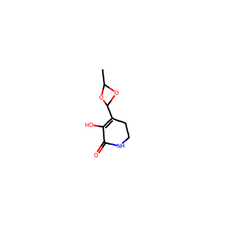 CC1OC(C2=C(O)C(=O)NCC2)O1